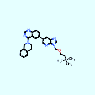 C[Si](C)(C)CCOCn1cnc2cc(-c3ccc4ncnc(N5CCc6ccccc6C5)c4c3)cnc21